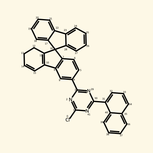 Clc1nc(-c2ccc3c(c2)C2=C(CCC=C2)C32c3ccccc3-c3ccccc32)nc(-c2cccc3ccccc23)n1